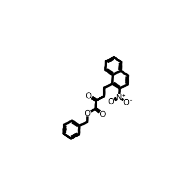 O=C(CCc1c([N+](=O)[O-])ccc2ccccc12)C(=O)OCc1ccccc1